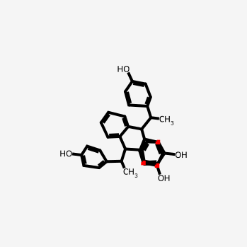 CC(c1ccc(O)cc1)C(c1ccc(O)cc1)c1ccccc1C(c1ccc(O)cc1)C(C)c1ccc(O)cc1